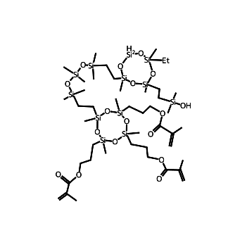 C=C(C)C(=O)OCCC[Si]1(C)O[Si](C)(CCCOC(=O)C(=C)C)O[Si](C)(CC[Si](C)(C)O[Si](C)(C)O[Si](C)(C)CC[Si]2(C)O[SiH2]O[Si](C)(CC)O[Si](C)(CC[Si](C)(C)O)O2)O[Si](C)(CCCOC(=O)C(=C)C)O1